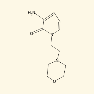 Nc1cccn(CCN2CCOCC2)c1=O